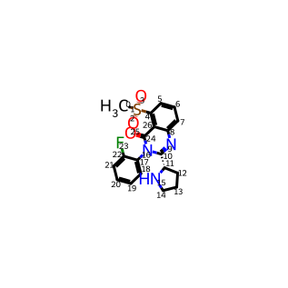 CS(=O)(=O)c1cccc2nc([C@@H]3CCCN3)n(-c3ccccc3F)c(=O)c12